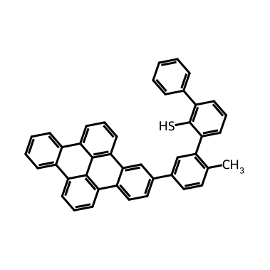 Cc1ccc(-c2ccc3c(c2)c2cccc4c5ccccc5c5cccc3c5c42)cc1-c1cccc(-c2ccccc2)c1S